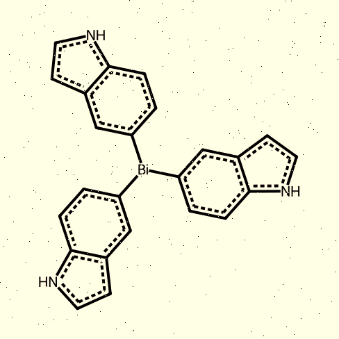 c1cc2c[c]([Bi]([c]3ccc4[nH]ccc4c3)[c]3ccc4[nH]ccc4c3)ccc2[nH]1